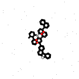 CC1C=CC=C(N(c2ccc(-c3cccc4ccccc34)cc2)c2ccc(-c3ccc4c(ccc5oc6ccccc6c54)c3)cc2-c2ccccc2)C1c1ccccc1